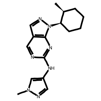 C[C@H]1CCCC[C@H]1n1ncc2cnc(Nc3cnn(C)c3)nc21